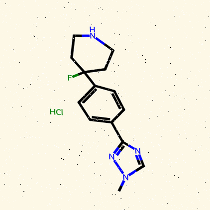 Cl.Cn1cnc(-c2ccc(C3(F)CCNCC3)cc2)n1